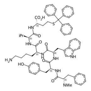 CN[C@@H](Cc1ccccc1)C(=O)N[C@@H](Cc1ccc(O)cc1)C(=O)N[C@H](Cc1c[nH]c2ccccc12)C(=O)N[C@@H](CCCCN)C(=O)N[C@H](C(=O)N[C@@H](CCSC(c1ccccc1)(c1ccccc1)c1ccccc1)C(=O)O)C(C)C